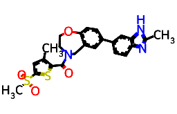 Cc1nc2ccc(-c3ccc4c(c3)CN(C(=O)c3sc(S(C)(=O)=O)cc3C)CCO4)cc2[nH]1